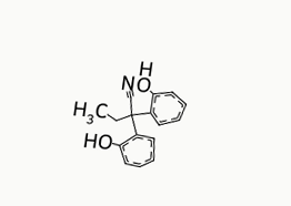 CCC(C#N)(c1ccccc1O)c1ccccc1O